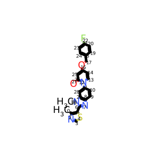 Cc1ncsc1-c1nc2ccc(-n3ccc(OCc4ccc(F)cc4)cc3=O)cc2n1C